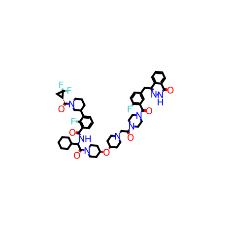 O=C(N[C@@H](C(=O)N1CCC(OC2CCN(CC(=O)N3CCN(C(=O)c4cc(Cc5n[nH]c(=O)c6ccccc56)ccc4F)CC3)CC2)CC1)C1CCCCC1)c1cccc(C2CCCN(C(=O)[C@@H]3CC3(F)F)C2)c1F